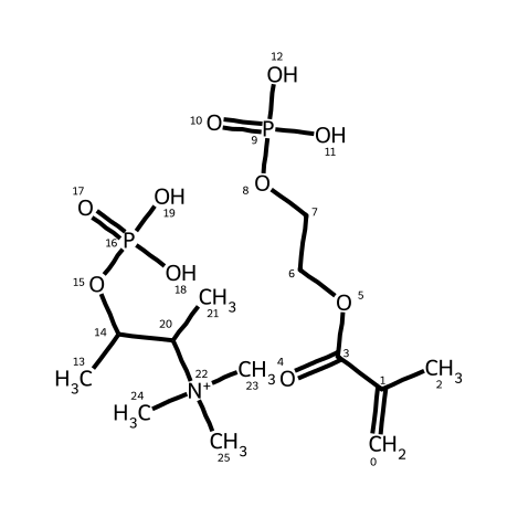 C=C(C)C(=O)OCCOP(=O)(O)O.CC(OP(=O)(O)O)C(C)[N+](C)(C)C